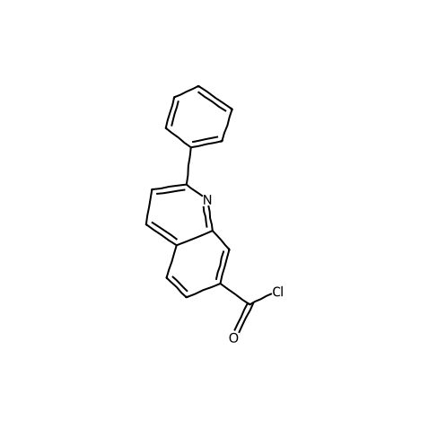 O=C(Cl)c1ccc2ccc(-c3ccccc3)nc2c1